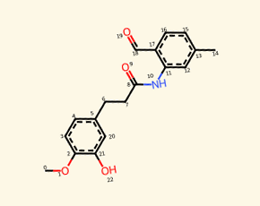 COc1ccc(CCC(=O)Nc2cc(C)ccc2C=O)cc1O